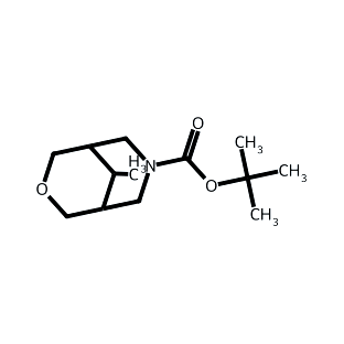 CC1C2COCC1CN(C(=O)OC(C)(C)C)C2